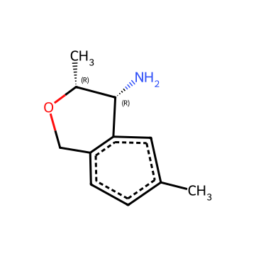 Cc1ccc2c(c1)[C@@H](N)[C@@H](C)OC2